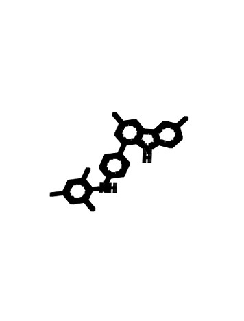 Cc1cc(C)c(Nc2ccc(-c3cc(C)cc4c3[nH]c3ccc(C)cc34)cc2)c(C)c1